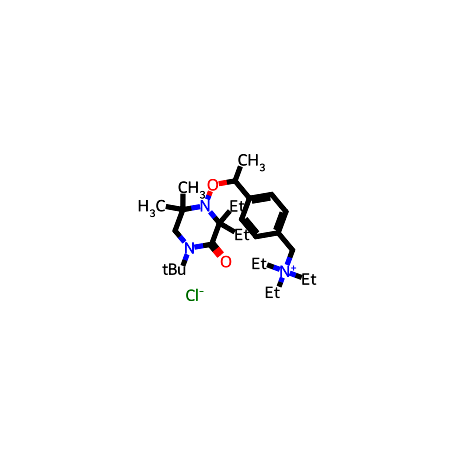 CCC1(CC)C(=O)N(C(C)(C)C)CC(C)(C)N1OC(C)c1ccc(C[N+](CC)(CC)CC)cc1.[Cl-]